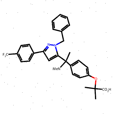 CNC(C)(c1ccc(OC(C)(C)C(=O)O)cc1)c1cc(-c2ccc(C(F)(F)F)cc2)nn1Cc1ccccc1